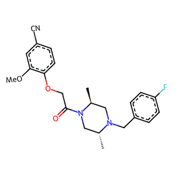 COc1cc(C#N)ccc1OCC(=O)N1C[C@@H](C)N(Cc2ccc(F)cc2)C[C@@H]1C